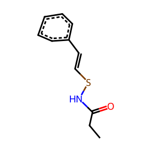 CCC(=O)NSC=Cc1ccccc1